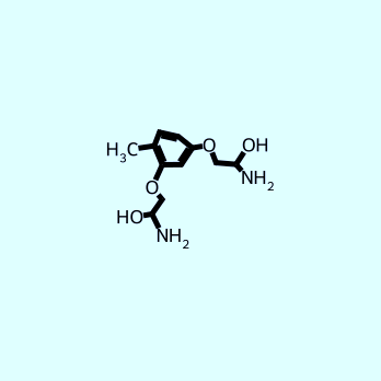 Cc1ccc(OCC(N)O)cc1OCC(N)O